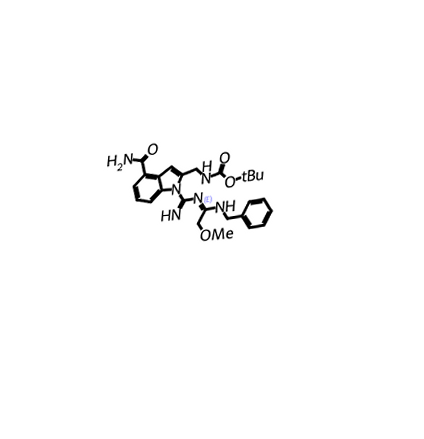 COC/C(=N\C(=N)n1c(CNC(=O)OC(C)(C)C)cc2c(C(N)=O)cccc21)NCc1ccccc1